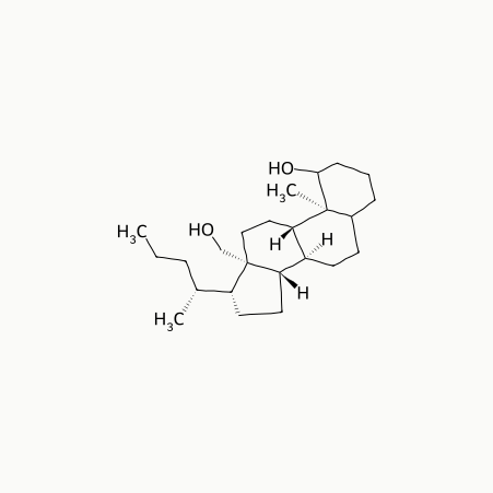 CCC[C@@H](C)[C@H]1CC[C@H]2[C@@H]3CCC4CCCC(O)[C@]4(C)[C@H]3CC[C@]12CO